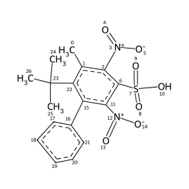 Cc1c([N+](=O)[O-])c(S(=O)(=O)O)c([N+](=O)[O-])c(-c2ccccc2)c1C(C)(C)C